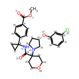 COC(=O)c1ccc(C2(NC(=O)C3(N4CC[C@H](Oc5cccc(Cl)c5)C4)CCOCC3)CC2)cc1